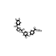 COC(=O)C1CCC(Oc2ncc(NC(=O)c3nnc(Nc4ccc(F)c(F)c4)o3)cc2Cl)CC1